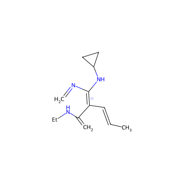 C=N/C(NC1CC1)=C(/C=CC)C(=C)NCC